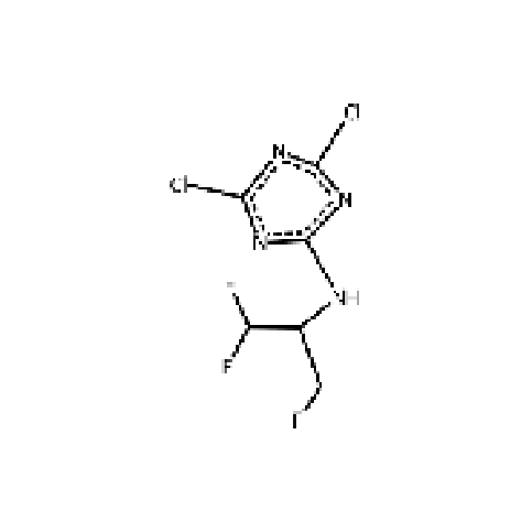 FCC(Nc1nc(Cl)nc(Cl)n1)C(F)F